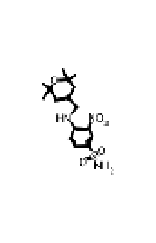 CC1(C)CC(CNc2ccc(S(N)(=O)=O)cc2[N+](=O)[O-])CC(C)(C)O1